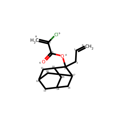 C=CCC1(OC(=O)C(=C)Cl)C2CC3CC(C2)CC1C3